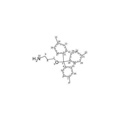 Cc1ccc(C(OCCCN)(c2ccc(C)cc2)c2ccc(C)cc2)cc1